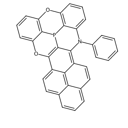 c1ccc(-n2c3cccc4c3p3c5c(cccc5oc5c6ccc7cccc8ccc(c6c78)c2c53)O4)cc1